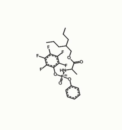 CCCC(CCC)COC(=O)C(C)N[P@](=O)(Oc1ccccc1)Oc1c(F)c(F)c(F)c(F)c1F